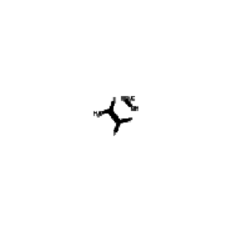 CC(F)=C(F)F.O=C(O)O